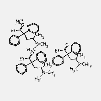 CCC(=O)C(CC(C)N(C)C)(c1ccccc1)c1ccccc1.CCC(=O)C(CC(C)N(C)C)(c1ccccc1)c1ccccc1.CCC(=O)C(CC(C)N(C)C)(c1ccccc1)c1ccccc1.Cl